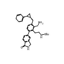 CC(C)(C)NCCc1c(-c2ccc3c(c2)CNC3=O)ccc(CC2CC2C2=CCCC=C2)c1CN